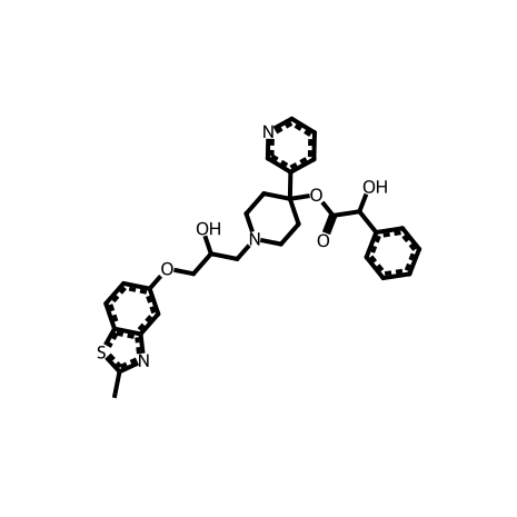 Cc1nc2cc(OCC(O)CN3CCC(OC(=O)C(O)c4ccccc4)(c4cccnc4)CC3)ccc2s1